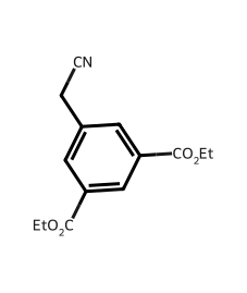 CCOC(=O)c1cc(CC#N)cc(C(=O)OCC)c1